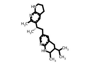 Cc1nc2c(cc1[C@@H](C)Cc1cnc3c(c1)CC(C(C)C)C(C)N3)CCCN2